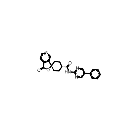 O=C1O[C@]2(CC[C@@H](C(=O)Nc3ncc(-c4ccccc4)cn3)CC2)c2cnccc21